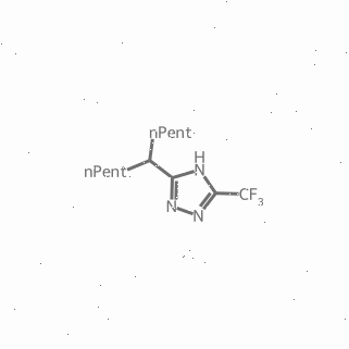 CCCCCC(CCCCC)c1nnc(C(F)(F)F)[nH]1